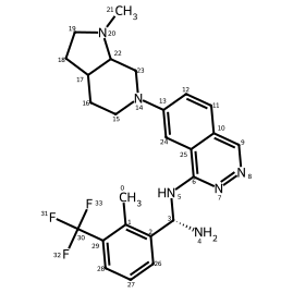 Cc1c([C@@H](N)Nc2nncc3ccc(N4CCC5CCN(C)C5C4)cc23)cccc1C(F)(F)F